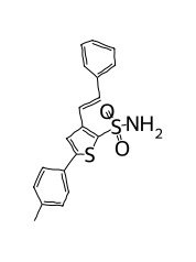 Cc1ccc(-c2cc(C=Cc3ccccc3)c(S(N)(=O)=O)s2)cc1